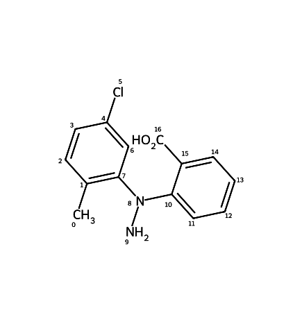 Cc1ccc(Cl)cc1N(N)c1ccccc1C(=O)O